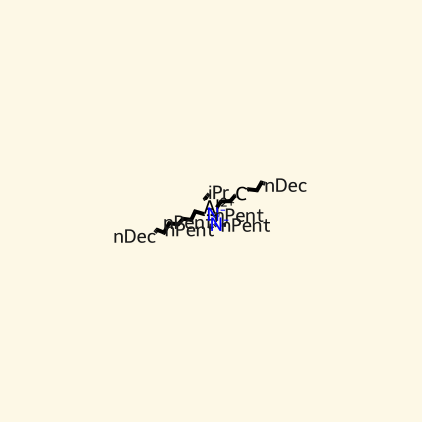 CCCCCCCCCCCCCCCCC[CH2][Al+2]([CH2]CCCCCCCCCCCCCCCCC)[CH2]C(C)C.CCCCC[N-]CCCCC.CCCCC[N-]CCCCC